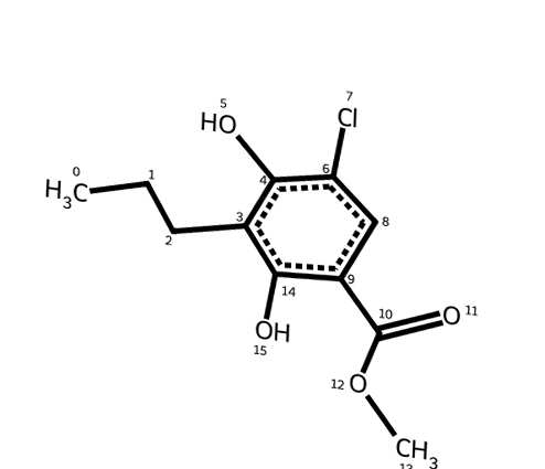 CCCc1c(O)c(Cl)cc(C(=O)OC)c1O